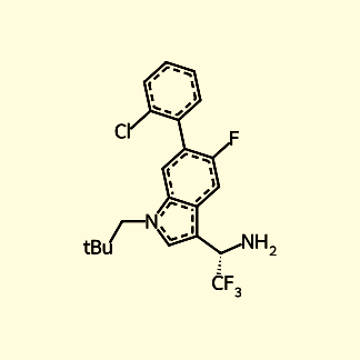 CC(C)(C)Cn1cc([C@H](N)C(F)(F)F)c2cc(F)c(-c3ccccc3Cl)cc21